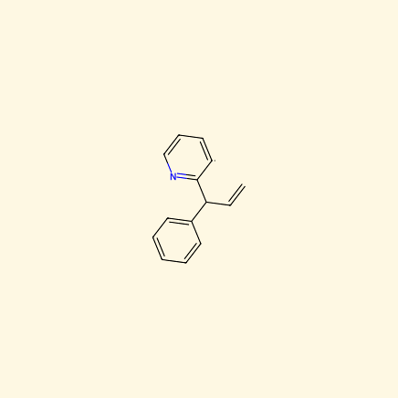 C=CC(c1ccccc1)c1[c]cccn1